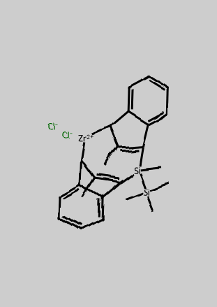 CC1=C2c3ccccc3[CH]1[Zr+2][CH]1C(C)=C(c3ccccc31)[Si]2(C)[Si](C)(C)C.[Cl-].[Cl-]